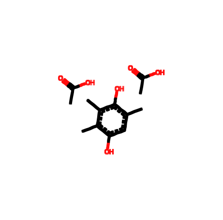 CC(=O)O.CC(=O)O.Cc1cc(O)c(C)c(C)c1O